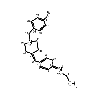 CCON=C1C=CC(C=C2CCN(Cc3ccc(Cl)cc3)CC2)=CC1